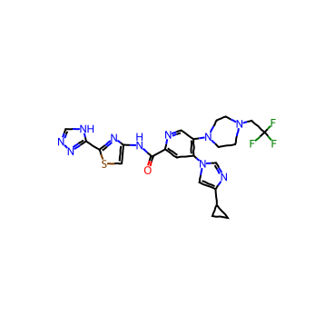 O=C(Nc1csc(-c2nnc[nH]2)n1)c1cc(-n2cnc(C3CC3)c2)c(N2CCN(CC(F)(F)F)CC2)cn1